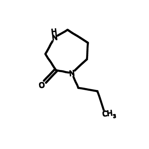 CCCN1CCCNCC1=O